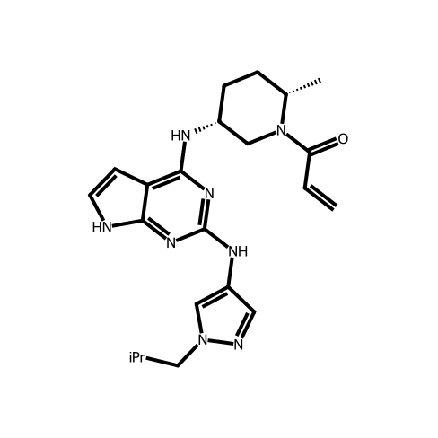 C=CC(=O)N1C[C@H](Nc2nc(Nc3cnn(CC(C)C)c3)nc3[nH]ccc23)CC[C@@H]1C